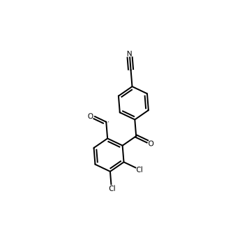 N#Cc1ccc(C(=O)c2c([C]=O)ccc(Cl)c2Cl)cc1